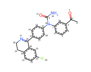 CC(=O)c1cccc(N(C(N)=O)c2ccc(C3=NCCc4ccc(F)cc43)cc2)c1